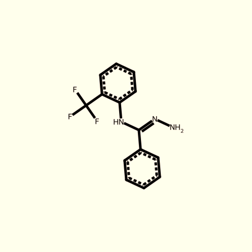 NN=C(Nc1ccccc1C(F)(F)F)c1ccccc1